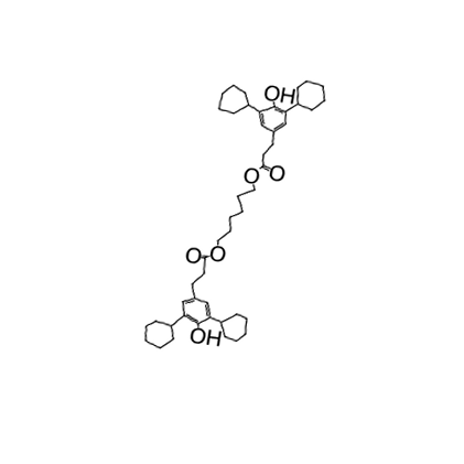 O=C(CCc1cc(C2CCCCC2)c(O)c(C2CCCCC2)c1)OCCCCCCOC(=O)CCc1cc(C2CCCCC2)c(O)c(C2CCCCC2)c1